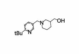 CC(C)(C)c1ccc(CN2CCCC(CO)C2)cn1